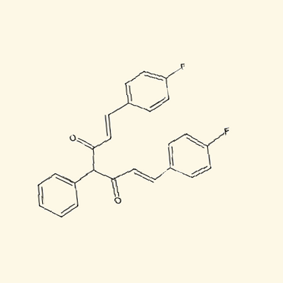 O=C(C=Cc1ccc(F)cc1)C(C(=O)C=Cc1ccc(F)cc1)c1ccccc1